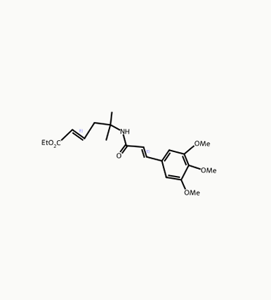 CCOC(=O)/C=C/CC(C)(C)NC(=O)/C=C/c1cc(OC)c(OC)c(OC)c1